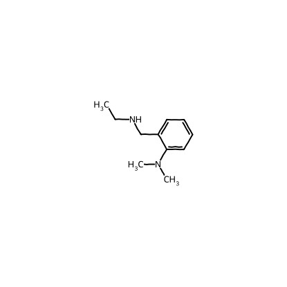 CCNCc1ccccc1N(C)C